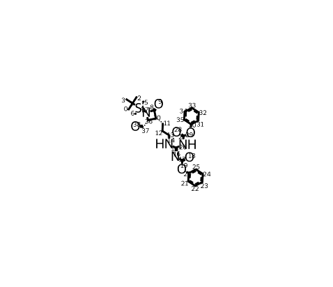 CC(C)(C)[Si](C)(C)N1C(=O)[C@H](CCCNC(=NC(=O)Oc2ccccc2)NC(=O)Oc2ccccc2)[C@@H]1C=O